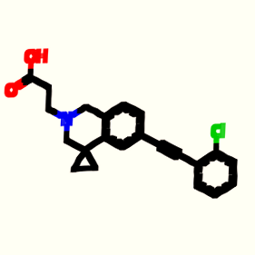 O=C(O)CCN1Cc2ccc(C#Cc3ccccc3Cl)cc2C2(CC2)C1